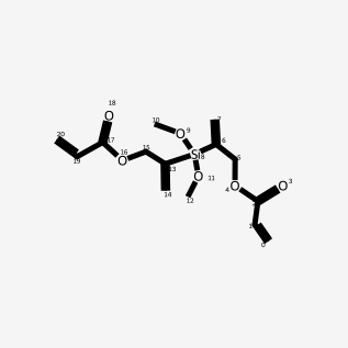 C=CC(=O)OCC(=C)[Si](OC)(OC)C(=C)COC(=O)C=C